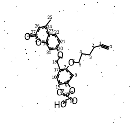 C#CCCCCOc1cc(OS(=O)(=O)O)ccc1COc1ccc2c(C)cc(=O)oc2c1